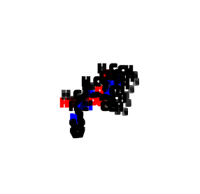 CC[C@H](C)C([C@@H](CC(=O)N1CCC[C@H]1[C@H](OC)[C@@H](C)C(O)NCCc1cc2ccccc2cn1)OC)N(C)C(=O)[C@@H](NC(=O)[C@H](C(C)C)N(C)C)C(C)C